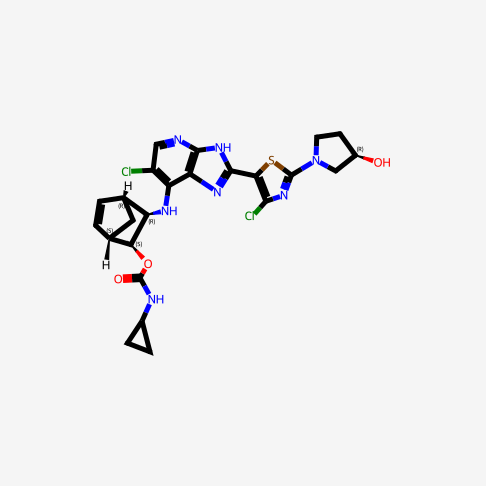 O=C(NC1CC1)O[C@@H]1[C@H](Nc2c(Cl)cnc3[nH]c(-c4sc(N5CC[C@@H](O)C5)nc4Cl)nc23)[C@H]2C=C[C@@H]1C2